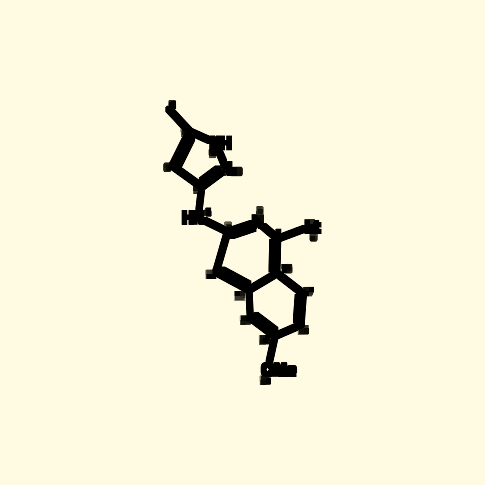 CCc1nc(Nc2cc(C)[nH]n2)cc2cc(OC)ccc12